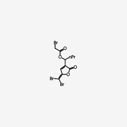 CCCC(OC(=O)CBr)C1=CC(=C(Br)Br)OC1=O